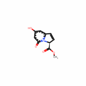 COC(=O)[C@@H]1C=Cc2cc(O)cc(=O)n21